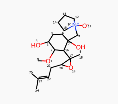 COC1C(O)CCC(O)(C[N+]2([O-])CCCC2)C1C1(C)OC1CC=C(C)C